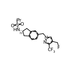 CC(C)S(=O)(=O)N[C@H]1Cc2ccc(Cn3cc(CF)c(C(F)(F)F)n3)cc2C1